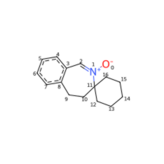 [O-][N+]1=Cc2ccccc2CCC12CCCCC2